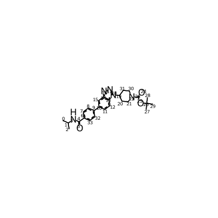 CC(C)NC(=O)c1ccc(-c2ccc3c(c2)nnn3C2CCN(C(=O)OC(C)(C)C)CC2)cc1